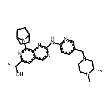 C[C@@H](O)c1cc2cnc(Nc3ccc(CN4CCN(C)[C@@H](C)C4)cn3)nc2c(N2C3CCC2CC3)n1